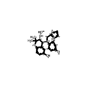 CC1(C)Oc2ccc(C#N)cc2[C@H](N(Cc2ncc[nH]2)c2ccc(Cl)cc2)[C@H]1O.Cl